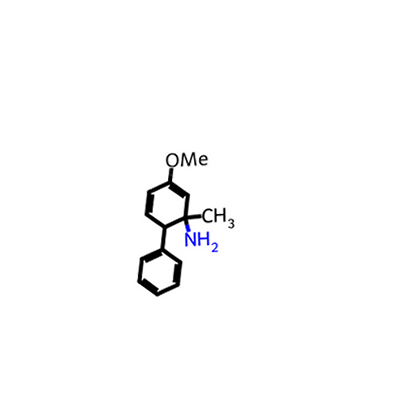 COC1=CC(C)(N)C(c2ccccc2)C=C1